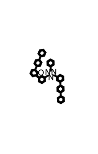 c1ccc(-c2ccc(-c3cccc(-c4nc(-c5ccccc5)nc(-c5cccc6c5oc5c(-c7ccc(-c8ccccc8)cc7)cccc56)n4)c3)cc2)cc1